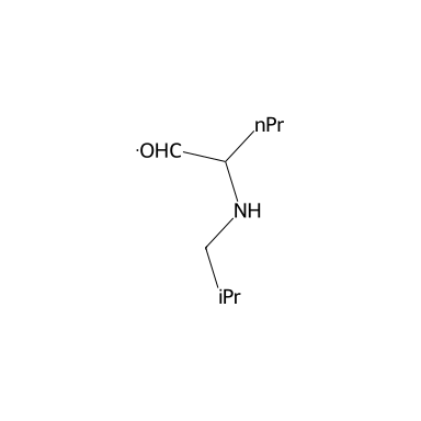 CCCC([C]=O)NCC(C)C